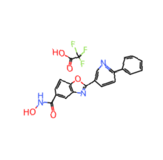 O=C(NO)c1ccc2oc(-c3ccc(-c4ccccc4)nc3)nc2c1.O=C(O)C(F)(F)F